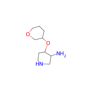 NC1CNCCC1OC1CCCOC1